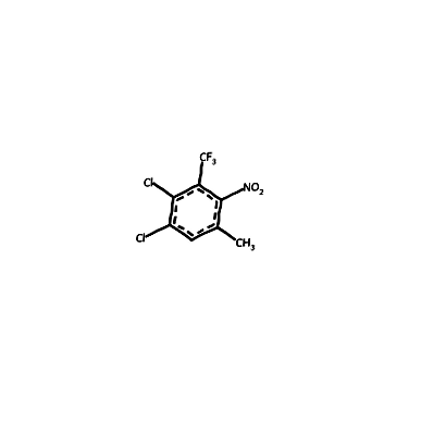 Cc1cc(Cl)c(Cl)c(C(F)(F)F)c1[N+](=O)[O-]